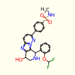 CNS(=O)(=O)c1ccc(-c2ccc3nc4c(n3n2)C(c2ccccc2OC(F)F)NCC4O)cc1